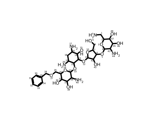 NCC1OC(OC2C(CO)OC(OC3C(O)C(N)CC(N)C3OC3OC(COCc4ccccc4)C(O)C(O)C3N)C2O)C(N)C(O)C1O